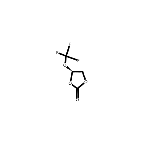 O=C1OC[C@H](OC(F)(F)F)O1